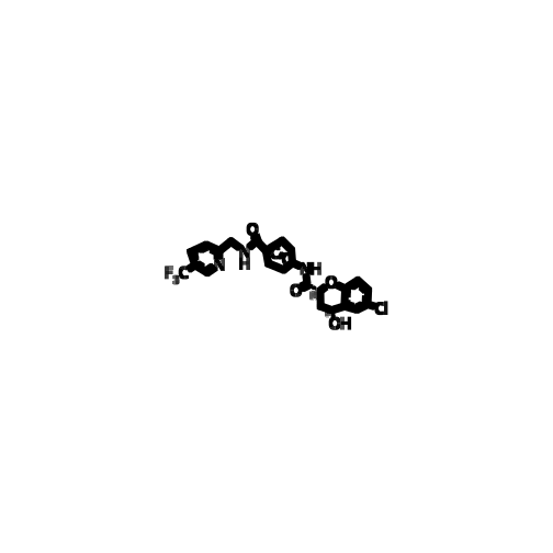 O=C(NC12CCC(C(=O)NCc3ccc(C(F)(F)F)cn3)(CC1)CC2)[C@H]1C[C@@H](O)c2cc(Cl)ccc2O1